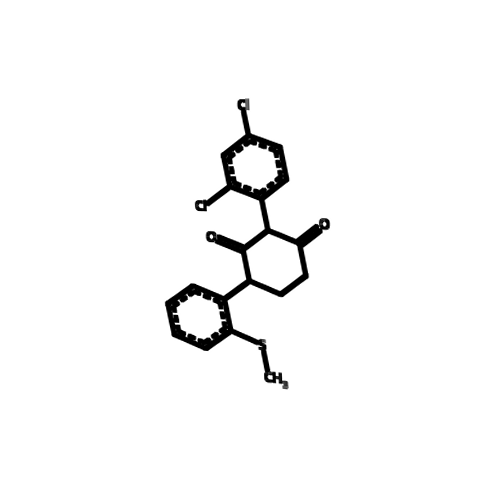 CSc1ccccc1C1CCC(=O)C(c2ccc(Cl)cc2Cl)C1=O